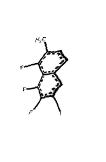 Cc1ccc2cc(I)c(F)c(F)c2c1F